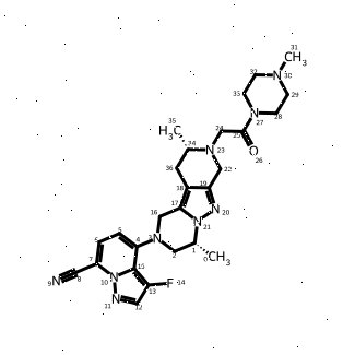 C[C@@H]1CN(c2ccc(C#N)n3ncc(F)c23)Cc2c3c(nn21)CN(CC(=O)N1CCN(C)CC1)[C@@H](C)C3